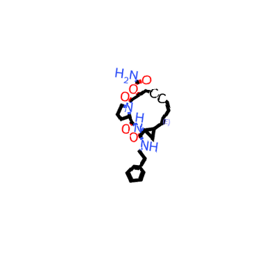 NC(=O)OC1CCCCC/C=C/C2CC2(C(=O)NCCc2ccccc2)NC(=O)C2CCCN2C1=O